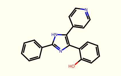 Oc1ccccc1-c1nc(-c2ccccc2)[nH]c1-c1ccncc1